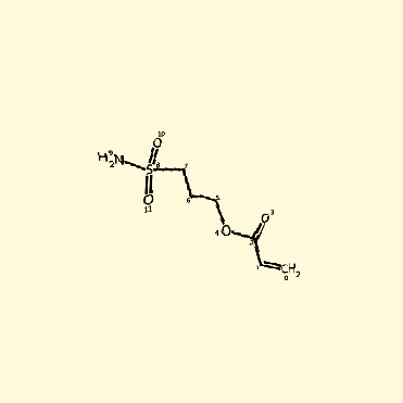 C=CC(=O)OCCCS(N)(=O)=O